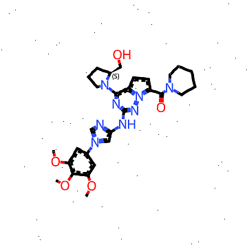 COc1cc(-n2cnc(Nc3nc(N4CCC[C@H]4CO)c4ccc(C(=O)N5CCCCC5)n4n3)c2)cc(OC)c1OC